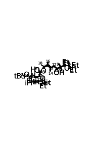 CC[C@H](O[Si](CC)(CC)CC)C(C)(C)[C@@H](O)C/C(C)=C(\C)[C@H](C)OC(=O)C(O[Si](CC)(CC)CC)[C@H](CC(C)C)NC(=O)OC(C)(C)C